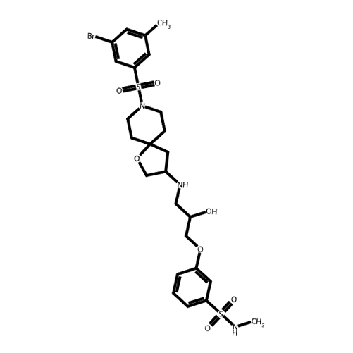 CNS(=O)(=O)c1cccc(OCC(O)CNC2COC3(CCN(S(=O)(=O)c4cc(C)cc(Br)c4)CC3)C2)c1